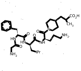 CC(C)C[C@@H](NC(=O)[C@@H](Cc1ccccc1)NC(=O)CN)C(=O)N[C@H](CCCN)C(=O)N1CCC(CC(C)C(=O)O)CC1